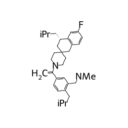 C=C(c1ccc(CC(C)C)c(CNC)c1)N1CCC2(CC1)Cc1ccc(F)cc1[C@@H](CC(C)C)C2